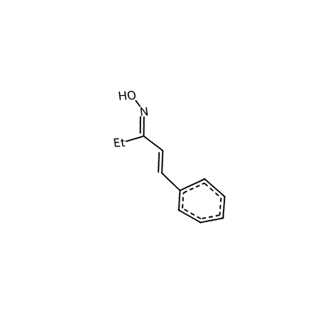 CCC(/C=C/c1ccccc1)=N\O